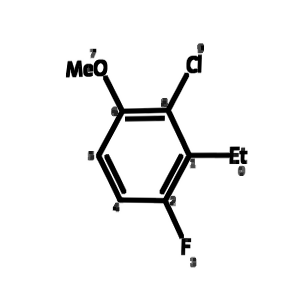 CCc1c(F)ccc(OC)c1Cl